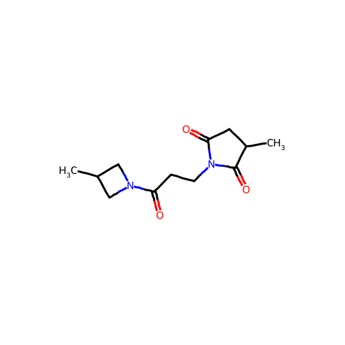 CC1CN(C(=O)CCN2C(=O)CC(C)C2=O)C1